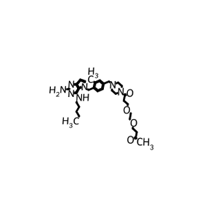 CCCCCNc1nc(N)nc2ccn(Cc3ccc(CN4CCN(C(=O)CCOCCOCCC(C)=O)CC4)cc3C)c12